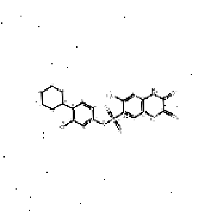 Cc1cc2[nH]c(=O)c(=O)[nH]c2cc1S(=O)(=O)Nc1ccc(C2CCCCC2)c(Cl)c1